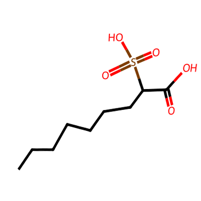 CCCCCCCC(C(=O)O)S(=O)(=O)O